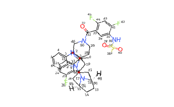 Cc1nc2ccccc2n1C1C[C@H]2CC[C@@H](C1)N2CCC1(c2cccc(F)c2)CCN(C(=O)c2cc(NS(C)(=O)=O)c(F)cc2F)CC1